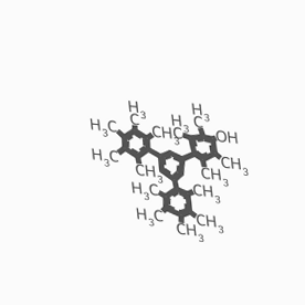 Cc1c(C)c(C)c(-c2cc(-c3c(C)c(C)c(C)c(C)c3C)cc(-c3c(C)c(C)c(O)c(C)c3C)c2)c(C)c1C